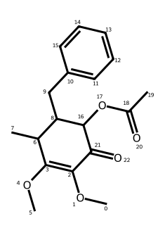 COC1=C(OC)C(C)C(Cc2ccccc2)C(OC(C)=O)C1=O